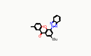 Cc1cccc(C(=O)c2cc(C(C)(C)C)cc(-n3nc4ccccc4n3)c2O)c1